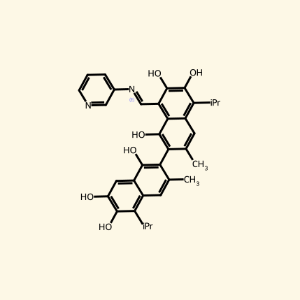 Cc1cc2c(C(C)C)c(O)c(O)cc2c(O)c1-c1c(C)cc2c(C(C)C)c(O)c(O)c(/C=N/c3cccnc3)c2c1O